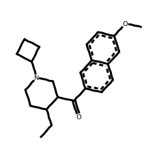 CCC1CCN(C2CCC2)CC1C(=O)c1ccc2cc(OC)ccc2c1